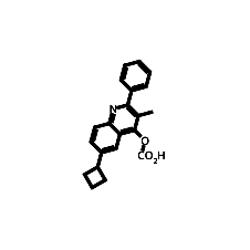 Cc1c(-c2ccccc2)nc2ccc(C3CCC3)cc2c1OC(=O)O